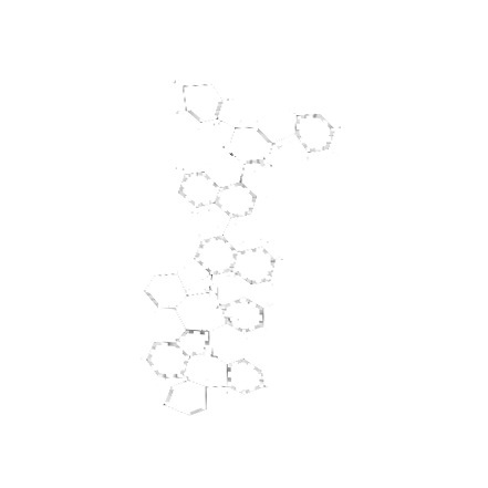 C1=CCC(c2ccccc2-n2c3c(c4ccccc42)C2C=CCCC2N(c2ccc(-c4ccc(C5=NC(c6ccccc6)=CC(C6=CCCC=C6)N5)c5ccccc45)c4ccccc24)c2ccccc2-3)C=C1